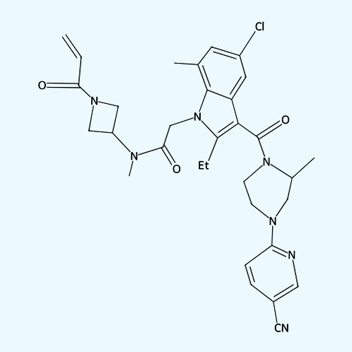 C=CC(=O)N1CC(N(C)C(=O)Cn2c(CC)c(C(=O)N3CCN(c4ccc(C#N)cn4)CC3C)c3cc(Cl)cc(C)c32)C1